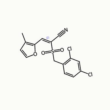 Cc1ccoc1/C=C(/C#N)S(=O)(=O)Cc1ccc(Cl)cc1Cl